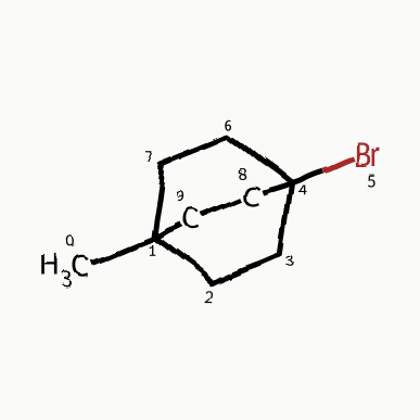 CC12CCC(Br)(CC1)CC2